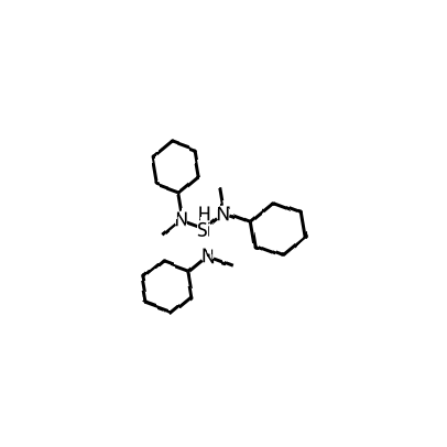 CN(C1CCCCC1)[SiH](N(C)C1CCCCC1)N(C)C1CCCCC1